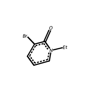 CCn1cccc(Br)c1=O